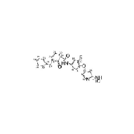 O=C(Nc1ccc(Oc2ccnc(NCl)c2)c(F)c1)c1cccn(Cc2ccccc2)c1=O